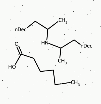 CCCCCC(=O)O.CCCCCCCCCCCC(C)NC(C)CCCCCCCCCCC